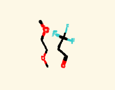 COCCOC.O=CCC(F)(F)F